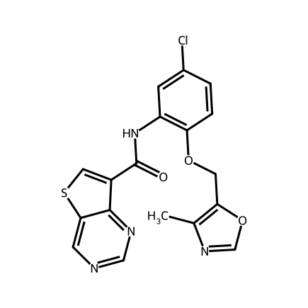 Cc1ncoc1COc1ccc(Cl)cc1NC(=O)c1csc2cncnc12